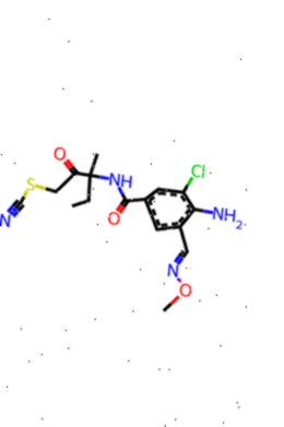 CCC(C)(NC(=O)c1cc(Cl)c(N)c(/C=N/OC)c1)C(=O)CSC#N